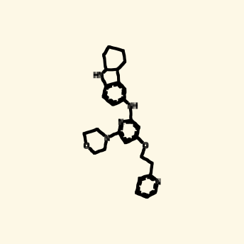 c1ccc(CCOc2cc(Nc3ccc4c(c3)C3CCCCC3N4)nc(N3CCOCC3)c2)nc1